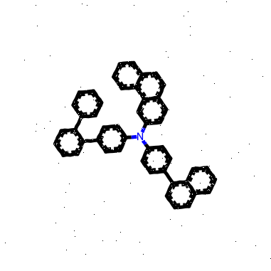 c1ccc(-c2ccccc2-c2ccc(N(c3ccc(-c4cccc5ccccc45)cc3)c3ccc4ccc5ccccc5c4c3)cc2)cc1